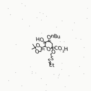 CCCCO[C@@H]1C[C@](OCSSCC)(C(=O)O)OC([C@H]2COC(C)(C)O2)[C@@H]1O